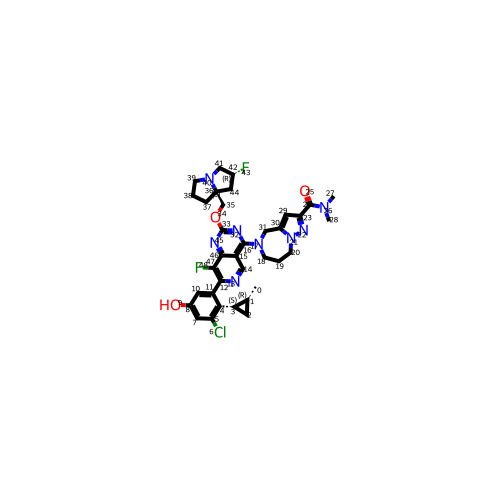 C[C@@H]1C[C@@H]1c1c(Cl)cc(O)cc1-c1ncc2c(N3CCCn4nc(C(=O)N(C)C)cc4C3)nc(OC[C@@]34CCCN3C[C@H](F)C4)nc2c1F